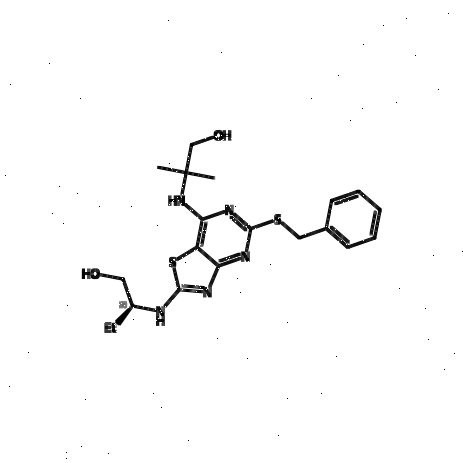 CC[C@@H](CO)Nc1nc2nc(SCc3ccccc3)nc(NC(C)(C)CO)c2s1